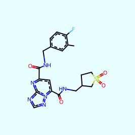 Cc1cc(CNC(=O)c2cc(C(=O)NCC3CCS(=O)(=O)C3)n3ncnc3n2)ccc1F